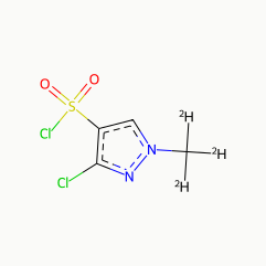 [2H]C([2H])([2H])n1cc(S(=O)(=O)Cl)c(Cl)n1